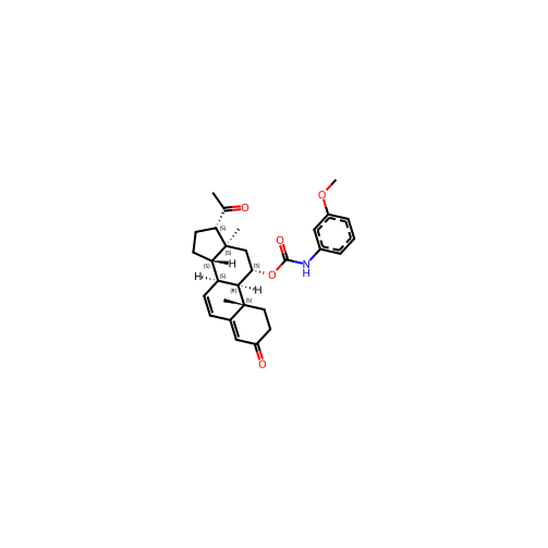 COc1cccc(NC(=O)O[C@H]2C[C@]3(C)[C@@H](C(C)=O)CC[C@H]3[C@@H]3C=CC4=CC(=O)CC[C@@]4(C)[C@@H]32)c1